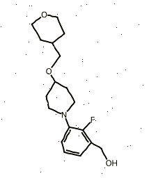 OCc1cccc(N2CCC(OCC3CCOCC3)CC2)c1F